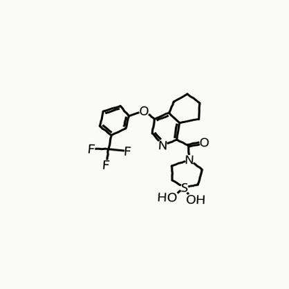 O=C(c1ncc(Oc2cccc(C(F)(F)F)c2)c2c1CCCC2)N1CCS(O)(O)CC1